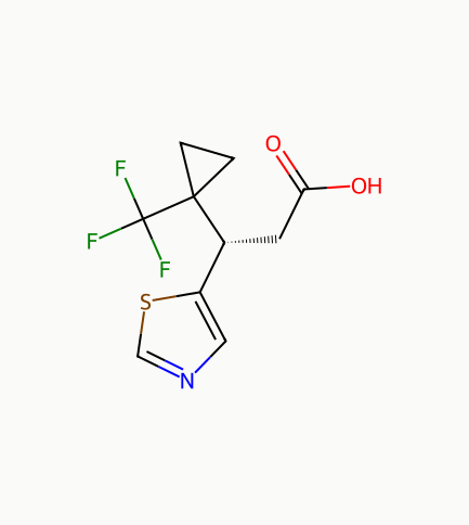 O=C(O)C[C@H](c1cncs1)C1(C(F)(F)F)CC1